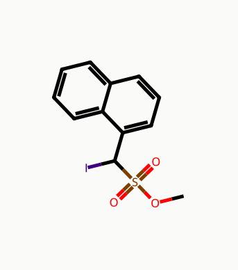 COS(=O)(=O)C(I)c1cccc2ccccc12